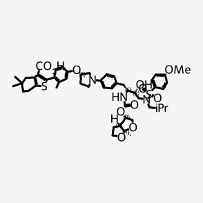 COc1ccc(S(=O)(=O)N(CC(C)C)C[C@@H](O)[C@H](Cc2ccc(N3CC[C@@H](Oc4ccc(-c5sc6c(c5C(=O)O)CC(C)(C)CC6)c(C)c4)C3)cc2)NC(=O)O[C@H]2CO[C@@]3(C)OCC[C@@H]23)cc1